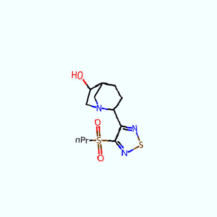 CCCS(=O)(=O)c1nsnc1C1CCC2CN1CC2O